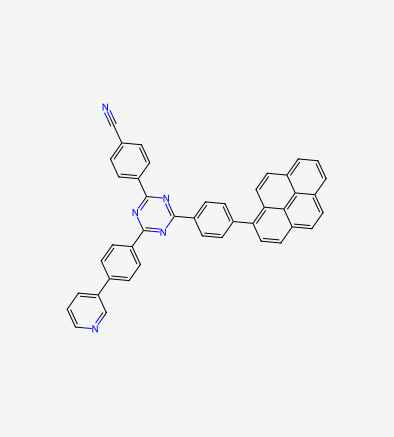 N#Cc1ccc(-c2nc(-c3ccc(-c4cccnc4)cc3)nc(-c3ccc(-c4ccc5ccc6cccc7ccc4c5c67)cc3)n2)cc1